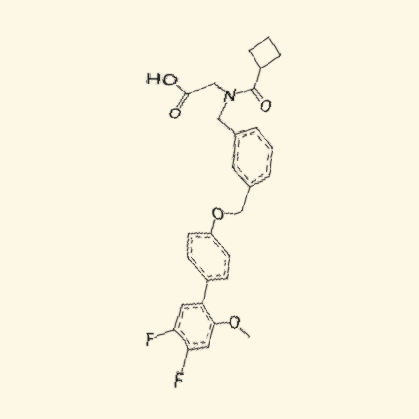 COc1cc(F)c(F)cc1-c1ccc(OCc2cccc(CN(CC(=O)O)C(=O)C3CCC3)c2)cc1